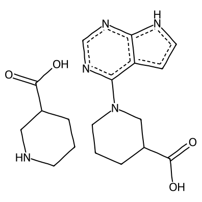 O=C(O)C1CCCN(c2ncnc3[nH]ccc23)C1.O=C(O)C1CCCNC1